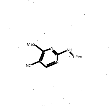 CCCCCNc1ncc(C#N)c(SC)n1